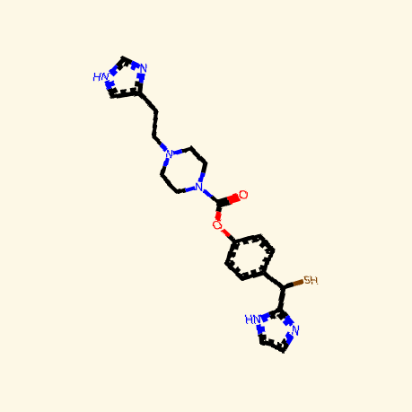 O=C(Oc1ccc(C(S)c2ncc[nH]2)cc1)N1CCN(CCc2c[nH]cn2)CC1